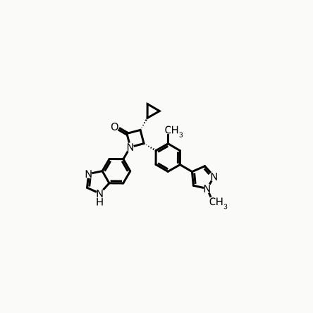 Cc1cc(-c2cnn(C)c2)ccc1[C@H]1[C@@H](C2CC2)C(=O)N1c1ccc2[nH]cnc2c1